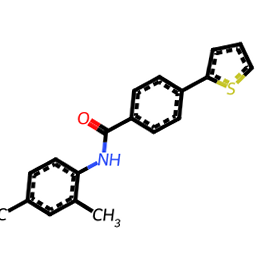 Cc1ccc(NC(=O)c2ccc(-c3cccs3)cc2)c(C)c1